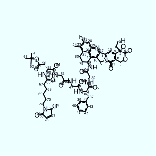 CC[C@@]1(O)C(=O)OCc2c1cc1n(c2=O)Cc2c-1nc1cc(F)c(C)c3c1c2[C@@H](NC(=O)CNC(=O)[C@H](Cc1ccccc1)NC(=O)CNC(=O)CNC(=O)[C@@H](CC(=O)OC(C)(C)C)NC(=O)CCCCCN1C(=O)C=CC1=O)CC3